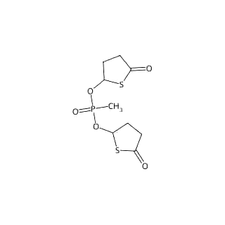 CP(=O)(OC1CCC(=O)S1)OC1CCC(=O)S1